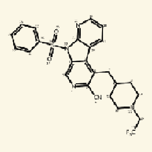 N#Cc1ncc2c(c1CC1CCN(CC(F)(F)F)CC1)c1cccnc1n2S(=O)(=O)c1ccccc1